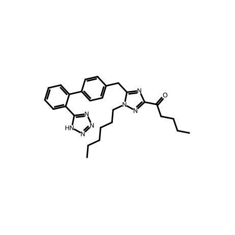 CCCCCCn1nc(C(=O)CCCC)nc1Cc1ccc(-c2ccccc2-c2nnn[nH]2)cc1